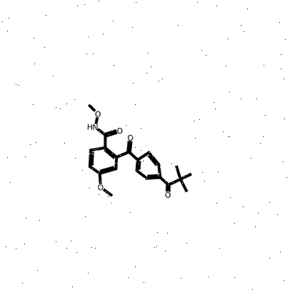 CONC(=O)c1ccc(OC)cc1C(=O)c1ccc(C(=O)C(C)(C)C)cc1